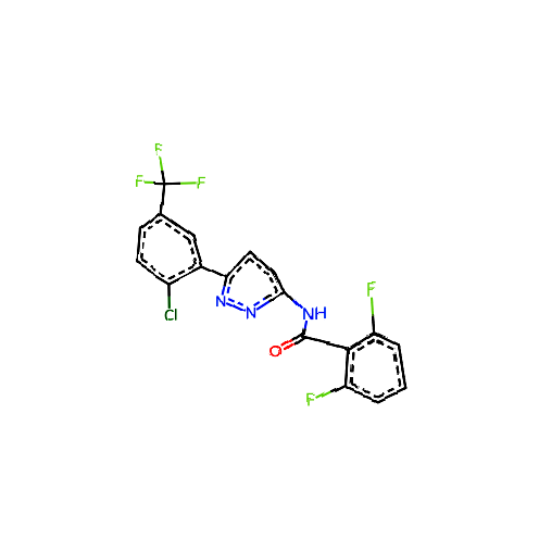 O=C(Nc1ccc(-c2cc(C(F)(F)F)ccc2Cl)nn1)c1c(F)cccc1F